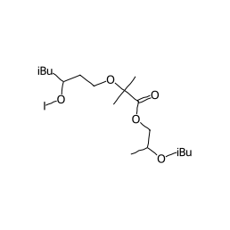 CCC(C)OC(C)COC(=O)C(C)(C)OCCC(OI)C(C)CC